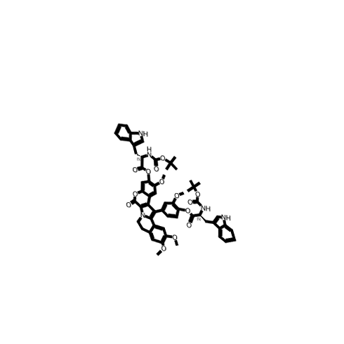 COc1cc2c(cc1OC)-c1c(-c3ccc(OC(=O)[C@H](Cc4c[nH]c5ccccc45)NC(=O)OC(C)(C)C)c(OC)c3)c3c4cc(OC)c(OC(=O)[C@H](Cc5c[nH]c6ccccc56)NC(=O)OC(C)(C)C)cc4oc(=O)c3n1CC2